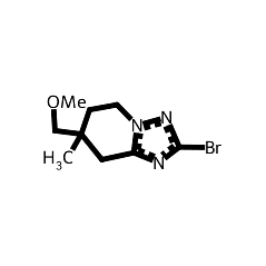 COCC1(C)CCn2nc(Br)nc2C1